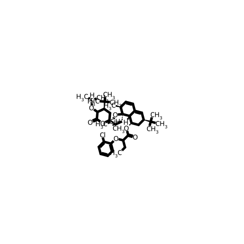 CCC(Oc1ccccc1Cl)C(=O)O[C@H]1C[C@H](C(C)(C)C)C=C2C=C[C@H](C)[C@](CC[C@@H]3C[C@H](C(C)(C)C)C(O[SiH](C)C)C(=O)O3)(O[SiH](C)C)[C@H]21